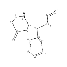 C=C1CCNCC1.O=COCc1ccccc1